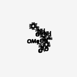 COCCCN1C(=O)COc2ccc(N(C(=O)[C@H]3CNC[C@@H](C(=O)NCCc4ccccc4)C3)C3CC3)cc21